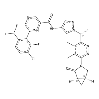 Cc1c([C@@H](C)n2cc(NC(=O)c3cncc(-c4c(C(F)F)ccc(Cl)c4F)n3)cn2)nnc(N2C[C@H]3C[C@H]3C2=O)c1C